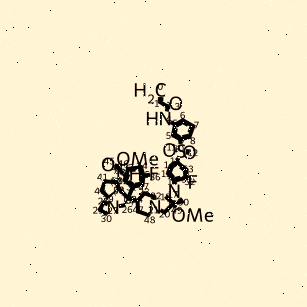 C=CC(=O)Nc1cccc(S(=O)(=O)c2ccc(N3CC(CN4CCC([C@@](CN5CCC5)(c5cccc(F)c5)[C@H]5CCC[C@@H]5NC(=O)OC)CC4)(OC)C3)c(F)c2)c1